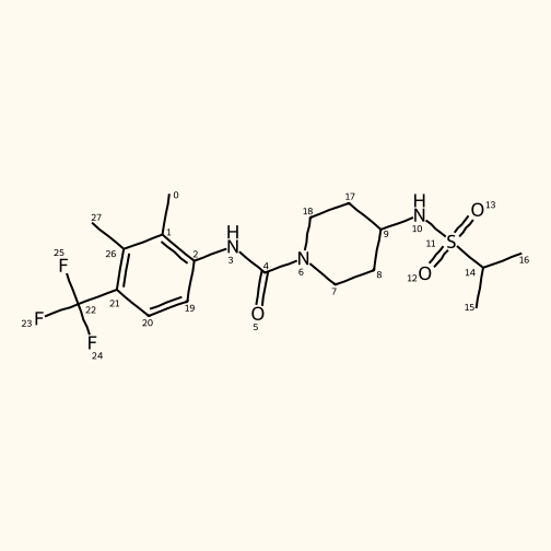 Cc1c(NC(=O)N2CCC(NS(=O)(=O)C(C)C)CC2)ccc(C(F)(F)F)c1C